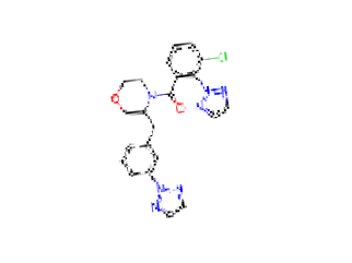 O=C(c1cccc(Cl)c1-n1nccn1)N1CCOCC1Cc1cccc(-n2nccn2)c1